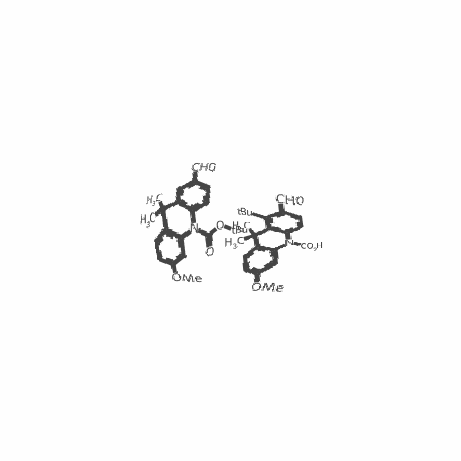 COc1ccc2c(c1)N(C(=O)O)c1ccc(C=O)c(C(C)(C)C)c1C2(C)C.COc1ccc2c(c1)N(C(=O)OC(C)(C)C)c1ccc(C=O)cc1C2(C)C